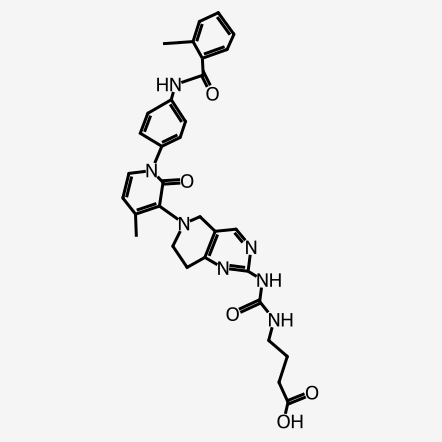 Cc1ccccc1C(=O)Nc1ccc(-n2ccc(C)c(N3CCc4nc(NC(=O)NCCCC(=O)O)ncc4C3)c2=O)cc1